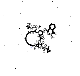 CC(C)n1nc(O[C@@H]2C[C@H]3C(=O)N[C@]4(C(=O)NS(=O)(=O)C5(C)CC5)C[C@H]4/C=C\CC[C@H](C)C[C@@H](C)[C@H](N(C(=O)O)C(C)(C)C(F)(F)F)C(=O)N3C2)c2ccccc2c1=O